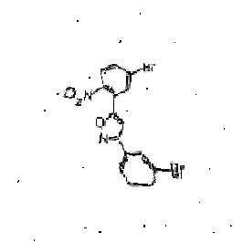 O=[N+]([O-])c1ccc(Br)cc1-c1cc(-c2cccc(Br)c2)no1